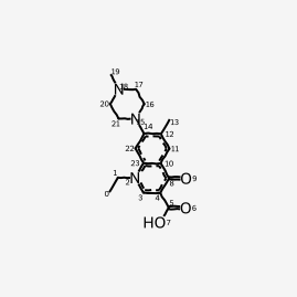 CCn1cc(C(=O)O)c(=O)c2cc(C)c(N3CCN(C)CC3)cc21